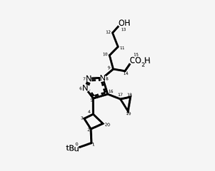 CC(C)(C)CC1CC(c2nnn(C(CCCO)CC(=O)O)c2C2CC2)C1